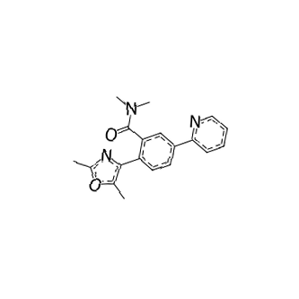 Cc1nc(-c2ccc(-c3ccccn3)cc2C(=O)N(C)C)c(C)o1